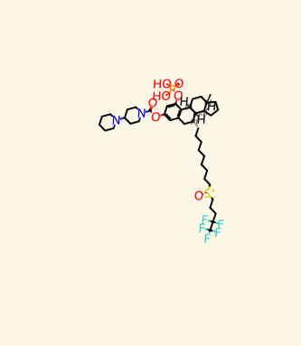 C[C@@]12CCC[C@H]1[C@H]1[C@H](CCCCCCCCC[S+]([O-])CCCC(F)(F)C(F)(F)F)Cc3cc(OC(=O)N4CCC(N5CCCCC5)CC4)cc(OP(=O)(O)O)c3[C@H]1CC2